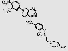 CC(=O)N1CCN(CCCOc2ccc(Nc3ncnc4c3CCN(c3ccc([N+](=O)[O-])c(C(F)(F)F)c3)C4)cc2C(F)(F)F)CC1